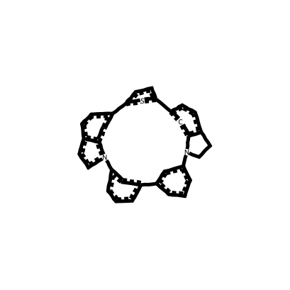 c1cc2cc(c1)N1CCc3ccc(cc31)-c1ccc(s1)-c1ccc3ccn(c3c1)-c1cccc-2c1